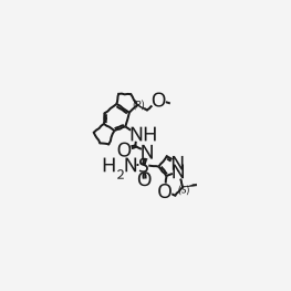 COC[C@@H]1CCc2cc3c(c(NC(=O)N=S(N)(=O)c4cnn5c4OC[C@@H]5C)c21)CCC3